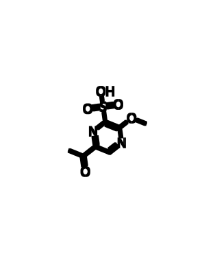 COc1ncc(C(C)=O)nc1S(=O)(=O)O